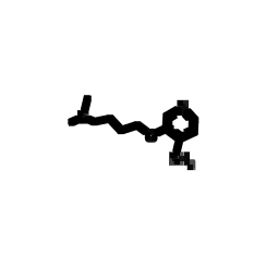 CN(C)CCCCOc1cnccc1N